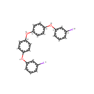 Ic1cccc(Oc2ccc(Oc3ccc(Oc4cccc(I)c4)cc3)cc2)c1